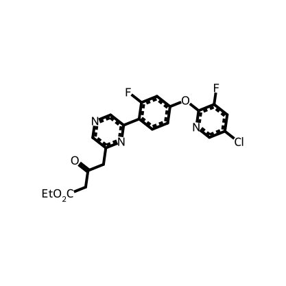 CCOC(=O)CC(=O)Cc1cncc(-c2ccc(Oc3ncc(Cl)cc3F)cc2F)n1